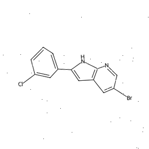 Clc1cccc(-c2cc3cc(Br)cnc3[nH]2)c1